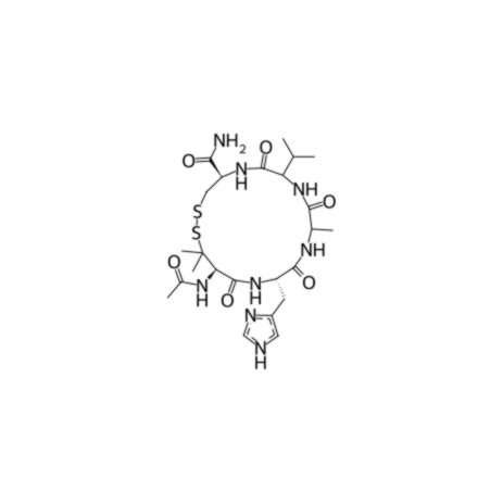 CC(=O)N[C@@H]1C(=O)N[C@@H](Cc2c[nH]cn2)C(=O)NC(C)C(=O)NC(C(C)C)C(=O)N[C@H](C(N)=O)CSSC1(C)C